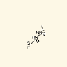 CCCC(CCCCC(=O)NCCCNC(=O)C(C)(C)CCC)SC